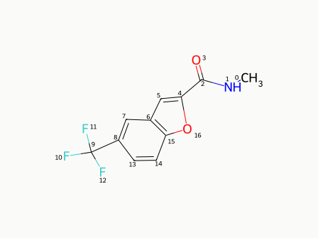 CNC(=O)c1cc2cc(C(F)(F)F)ccc2o1